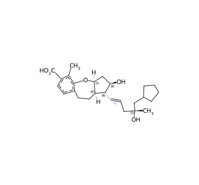 Cc1c(C(=O)O)ccc2c1O[C@H]1C[C@@H](O)[C@H](/C=C/C[C@@](C)(O)CC3CCCC3)[C@H]1CC2